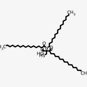 CCCCCCCCCCCCCCCC(=O)N(C(=O)CCCCCCCCCCCCCCC)C(CS)(C(=O)O)C(=O)CCCCCCCCCCCCCCC